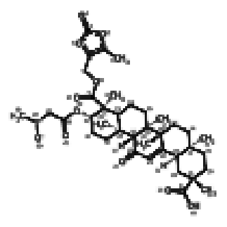 Cc1oc(=O)oc1COC(=O)[C@@]1(C)C2CC[C@]3(C)[C@H](C(=O)C=C4[C@@H]5C[C@@](C)(C(=O)O)CC[C@]5(C)CC[C@]43C)[C@@]2(C)CC[C@@H]1OC(=O)C[S+](C)[O-]